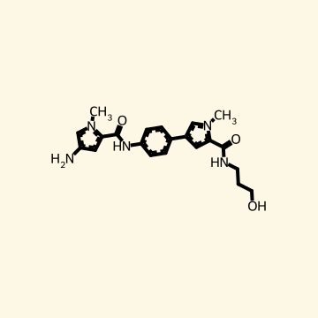 Cn1cc(-c2ccc(NC(=O)c3cc(N)cn3C)cc2)cc1C(=O)NCCCO